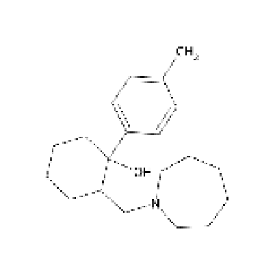 Cc1ccc(C2(O)CCCCC2CN2CCCCCC2)cc1